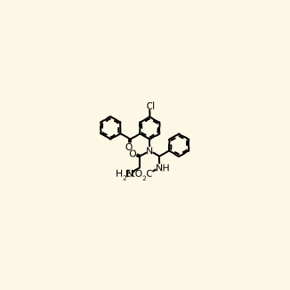 CCOC(=O)NC(c1ccccc1)N(C(=O)CN)c1ccc(Cl)cc1C(=O)c1ccccc1